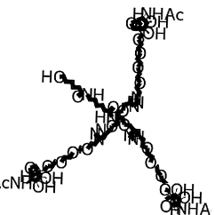 CC(=O)N[C@H]1[C@H]2OC[C@](COCCOCCOCCOCCn3cc(COCC(COCc4cn(CCOCCOCCOCCOC[C@@]56CO[C@@H](O5)[C@H](NC(C)=O)[C@@H](O)[C@H]6O)nn4)(COCc4cn(CCOCCOCCOCCOC[C@@]56CO[C@@H](O5)[C@H](NC(C)=O)[C@@H](O)[C@H]6O)nn4)NC(=O)CCCCCNC(=O)CCCCCO)nn3)(O2)[C@H](O)[C@@H]1O